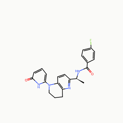 C[C@H](NC(=O)c1ccc(F)cc1)c1ccc2c(n1)CCCN2c1cccc(=O)[nH]1